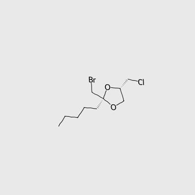 CCCCC[C@@]1(CBr)OC[C@@H](CCl)O1